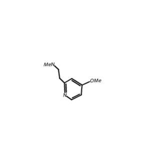 CNCCc1cc(OC)ccn1